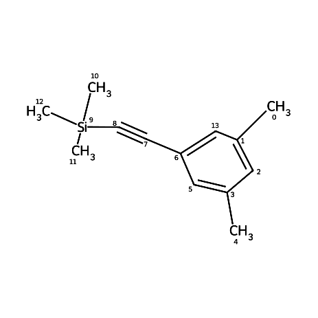 Cc1cc(C)cc(C#C[Si](C)(C)C)c1